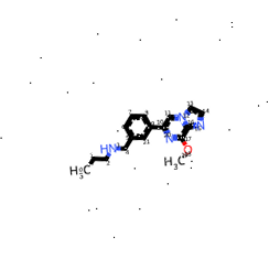 CCCNCc1cccc(-c2cn3ccnc3c(OC)n2)c1